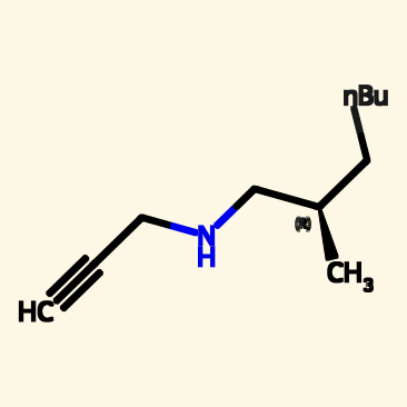 C#CCNC[C@H](C)CCCCC